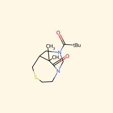 CC(C)(C)C(=O)N1CC2CSCCN(C1)C(=O)C2(C)C